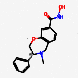 CN1Cc2ccc(C(=O)NO)cc2OC[C@H]1c1ccccc1